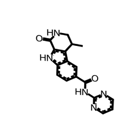 CC1CNC(=O)c2[nH]c3ccc(C(=O)Nc4ncccn4)cc3c21